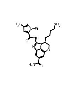 CCn1nc(C)cc1C(=O)Nc1nc2cc(C(N)=O)cc3c2n1[C@@H](CCCCN)CO3